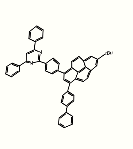 CC(C)(C)c1cc2ccc3c(-c4ccc(-c5ccccc5)cc4)cc(-c4ccc(-c5nc(-c6ccccc6)cc(-c6ccccc6)n5)cc4)c4ccc(c1)c2c34